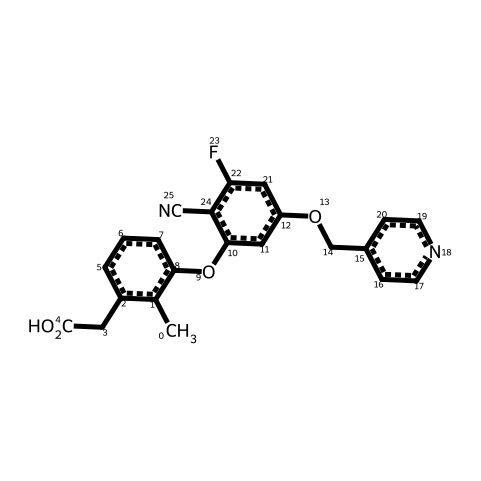 Cc1c(CC(=O)O)cccc1Oc1cc(OCc2ccncc2)cc(F)c1C#N